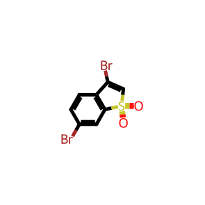 O=S1(=O)C=C(Br)c2ccc(Br)cc21